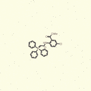 COC(=O)c1cc(Cl)ccc1NC(=O)C=P(c1ccccc1)(c1ccccc1)c1ccccc1